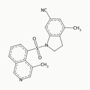 Cc1cc(C#N)cc2c1CCN2S(=O)(=O)c1cccc2cncc(C)c12